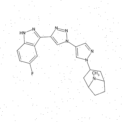 CN1C2CCC1CC(n1cc(-n3cc(-c4n[nH]c5ccc(F)cc45)nn3)cn1)C2